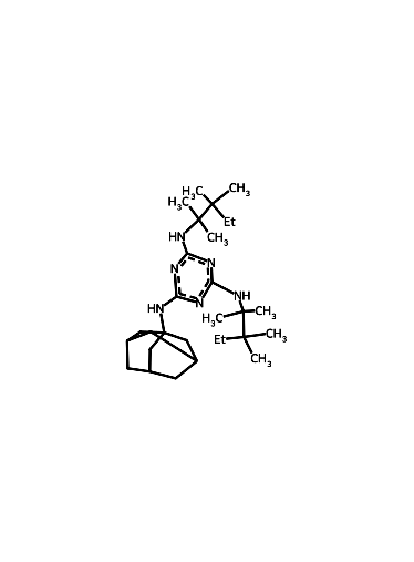 CCC(C)(C)C(C)(C)Nc1nc(NC23CC4CC(CC(C4)C2)C3)nc(NC(C)(C)C(C)(C)CC)n1